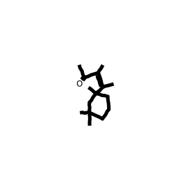 CC(=O)C(C)=C(C)C1(C)CCCC(C)(C)C1